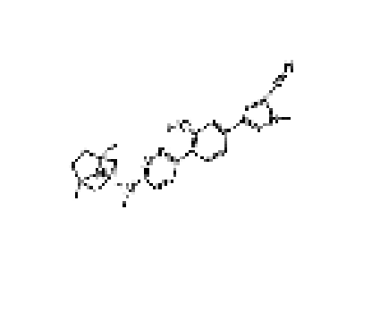 CN(c1ccc(-c2ccc(-c3cc(C#N)n(C)c3)cc2O)nn1)[C@@H]1C[C@]2(C)CC[C@](C)(C1)N2